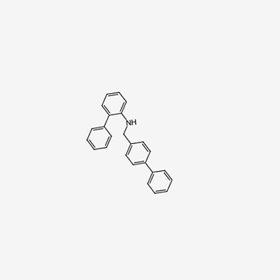 c1ccc(-c2ccc(CNc3ccccc3-c3ccccc3)cc2)cc1